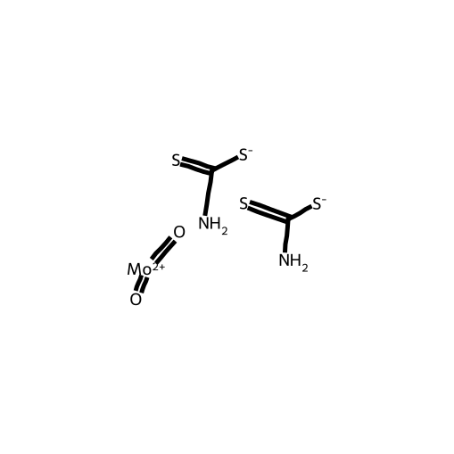 NC(=S)[S-].NC(=S)[S-].[O]=[Mo+2]=[O]